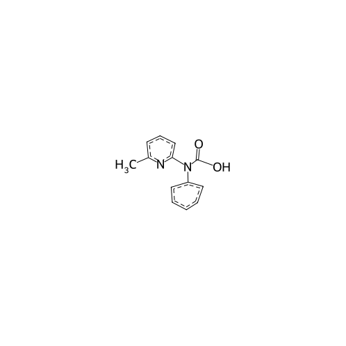 Cc1cccc(N(C(=O)O)c2ccccc2)n1